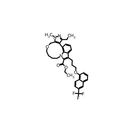 CCOC(=O)c1c(CCCOc2cccc3cc(C(F)(F)F)ccc23)c2cccc3c2n1CCCCOCc1c-3c(CC)nn1C